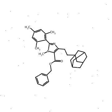 Cc1cc(C)c(-c2nc(CCC34CC5CC(CC(C5)C3)C4)c(C(=O)OCc3ccccc3)n2C)c(C)c1